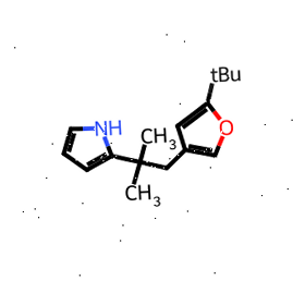 CC(C)(C)c1cc(CC(C)(C)c2ccc[nH]2)co1